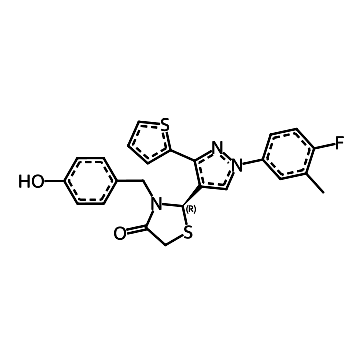 Cc1cc(-n2cc([C@H]3SCC(=O)N3Cc3ccc(O)cc3)c(-c3cccs3)n2)ccc1F